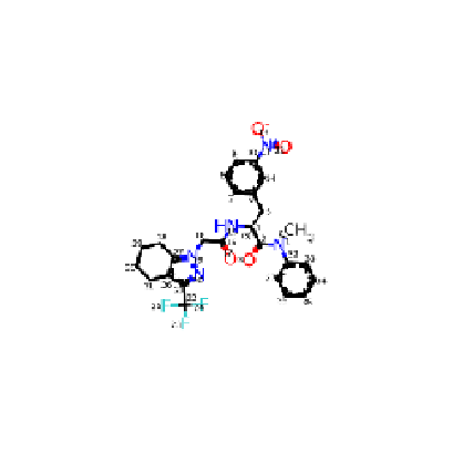 CN(C(=O)[C@H](Cc1cccc([N+](=O)[O-])c1)NC(=O)Cn1nc(C(F)(F)F)c2c1CCCC2)c1ccccc1